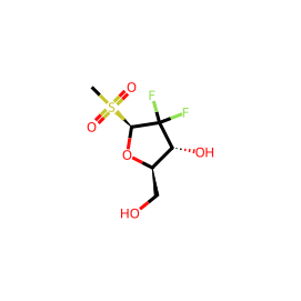 CS(=O)(=O)[C@@H]1O[C@H](CO)[C@@H](O)C1(F)F